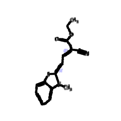 CCOC(=O)/C(C#N)=C/C=C1\Sc2ccccc2N1C